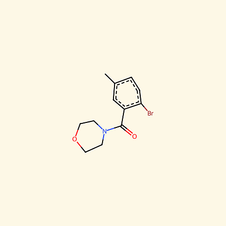 Cc1ccc(Br)c(C(=O)N2CCOCC2)c1